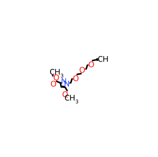 C#CCOCCOCCOCCn1nc(C(=O)OCC)cc1COC